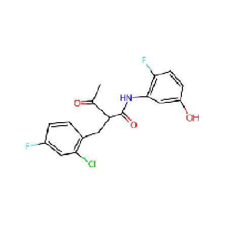 CC(=O)C(Cc1ccc(F)cc1Cl)C(=O)Nc1cc(O)ccc1F